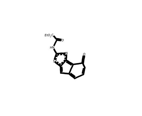 CCOC(=O)C(=O)Nc1nc2c(s1)=CC1=CC=CC(=O)C=21